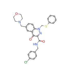 O=C(NCc1ccc(Cl)cc1)c1nn(CSc2ccccc2)c2ccc(CN3CCOCC3)cc2c1=O